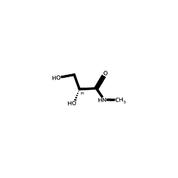 CNC(=O)[C@H](O)CO